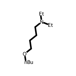 [CH2]CCCOCCCCN(CC)CC